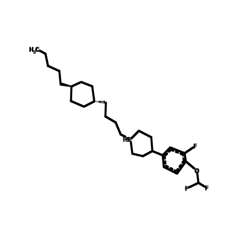 CCCCC[C@H]1CC[C@H](CCCC[SiH]2CCC(c3ccc(OC(F)F)c(F)c3)CC2)CC1